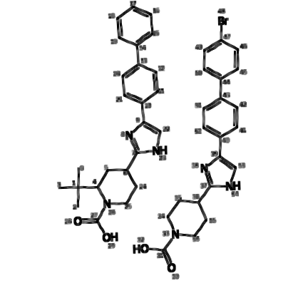 CC(C)(C)C1CC(c2nc(-c3ccc(-c4ccccc4)cc3)c[nH]2)CCN1C(=O)O.O=C(O)N1CCC(c2nc(-c3ccc(-c4ccc(Br)cc4)cc3)c[nH]2)CC1